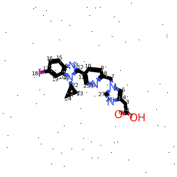 O=C(O)Cc1cn(Cc2ccc(-c3nc4ccc(I)cc4n3C3CC3)cn2)cn1